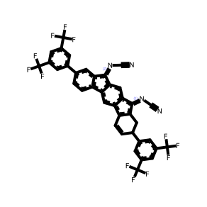 N#C/N=c1/c2cc(-c3cc(C(F)(F)F)cc(C(F)(F)F)c3)ccc2c2cc3c4c(/c(=N\C#N)c3cc12)CC(c1cc(C(F)(F)F)cc(C(F)(F)F)c1)C=C4